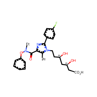 CCN(Oc1ccccc1)C(=O)c1nc(-c2ccc(F)cc2)n(CC[C@@H](O)C[C@@H](O)CC(=O)O)c1C(C)C